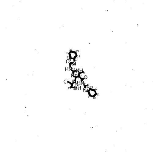 CC1=C(C(=O)Nc2nc3ccccc3s2)C(c2n[nH]cc2Cl)N=C(Nc2nc3ccccc3o2)N1